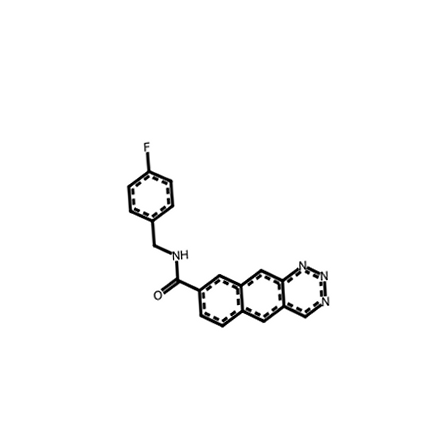 O=C(NCc1ccc(F)cc1)c1ccc2cc3cnnnc3cc2c1